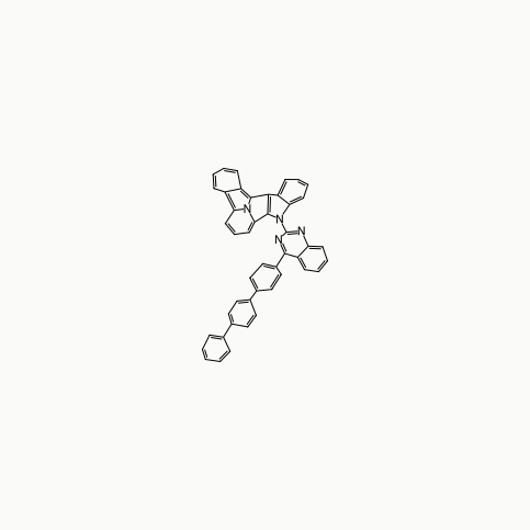 c1ccc(-c2ccc(-c3ccc(-c4nc(-n5c6ccccc6c6c5c5cccc7c8ccccc8c6n75)nc5ccccc45)cc3)cc2)cc1